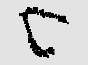 COP(=O)(O)OCCCCCCCCCCC(=O)NCCCOCC(O)COP(=O)(O)OCOP(=O)(O)OCCOCCOCCOCCOCCCNC(=O)O[C@H]1CC[C@@]2(C)C(=CC[C@H]3[C@@H]4CC[C@H]([C@H](C)CCCC(C)C)[C@@]4(C)CC[C@@H]32)C1